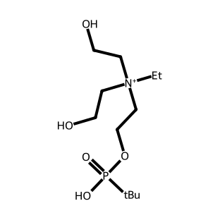 CC[N+](CCO)(CCO)CCOP(=O)(O)C(C)(C)C